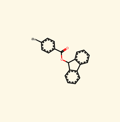 CCC(C)c1ccc(C(=O)OC2c3ccccc3-c3ccccc32)cc1